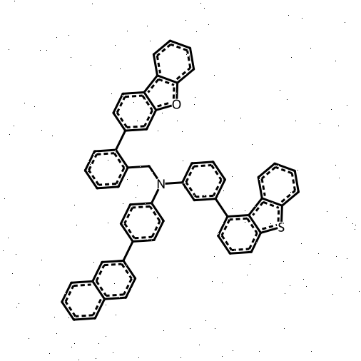 c1cc(-c2cccc3sc4ccccc4c23)cc(N(Cc2ccccc2-c2ccc3c(c2)oc2ccccc23)c2ccc(-c3ccc4ccccc4c3)cc2)c1